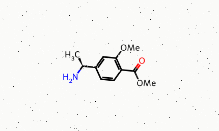 COC(=O)c1ccc([C@H](C)N)cc1OC